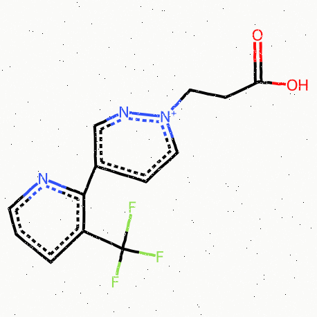 O=C(O)CC[n+]1ccc(-c2ncccc2C(F)(F)F)cn1